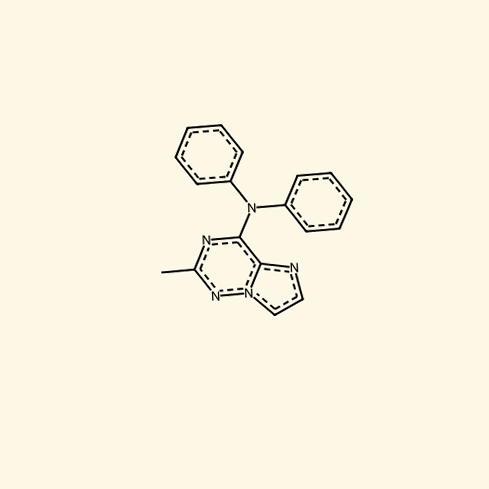 Cc1nc(N(c2ccccc2)c2ccccc2)c2nccn2n1